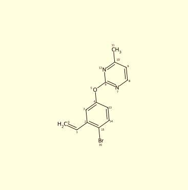 C=Cc1cc(Oc2nccc(C)n2)ccc1Br